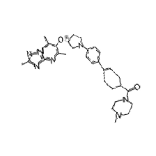 Cc1nc2nc(C)c(O[C@@H]3CCN(c4ccc(C5CCC(C(=O)N6CCN(C)CC6)CC5)cc4)C3)c(C)n2n1